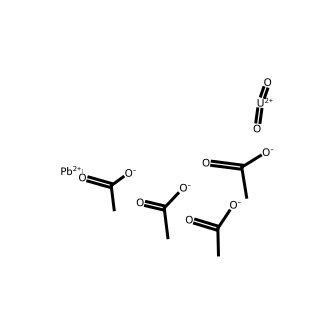 CC(=O)[O-].CC(=O)[O-].CC(=O)[O-].CC(=O)[O-].[O]=[U+2]=[O].[Pb+2]